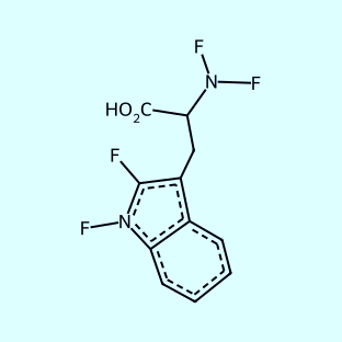 O=C(O)C(Cc1c(F)n(F)c2ccccc12)N(F)F